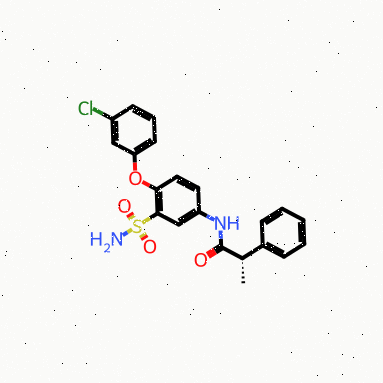 C[C@H](C(=O)Nc1ccc(Oc2cccc(Cl)c2)c(S(N)(=O)=O)c1)c1ccccc1